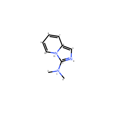 CN(C)c1ncc2ccccn12